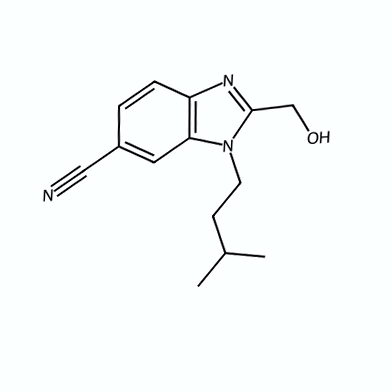 CC(C)CCn1c(CO)nc2ccc(C#N)cc21